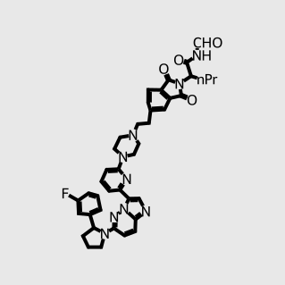 CCCC(C(=O)NC=O)N1C(=O)c2ccc(CCN3CCN(c4cccc(-c5cnc6ccc(N7CCCC7c7cccc(F)c7)nn56)n4)CC3)cc2C1=O